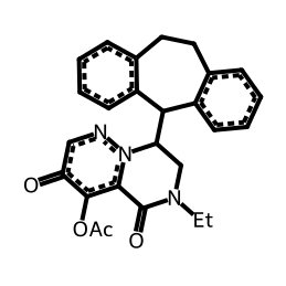 CCN1CC(C2c3ccccc3CCc3ccccc32)n2ncc(=O)c(OC(C)=O)c2C1=O